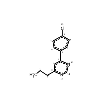 CC[CH]c1cc(-c2ccc(Cl)cc2)ncn1